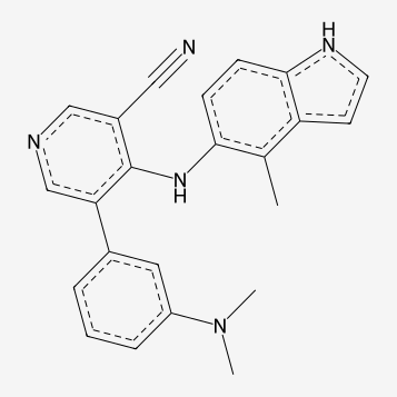 Cc1c(Nc2c(C#N)cncc2-c2cccc(N(C)C)c2)ccc2[nH]ccc12